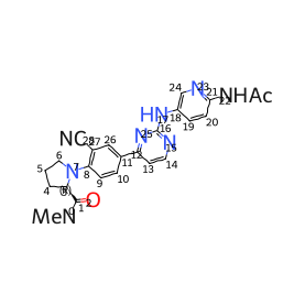 CNC(=O)[C@H]1CCCN1c1ccc(-c2ccnc(Nc3ccc(NC(C)=O)nc3)n2)cc1C#N